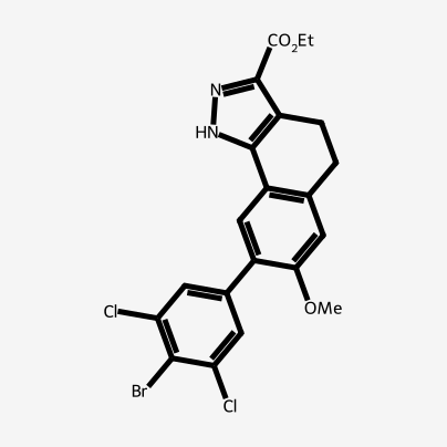 CCOC(=O)c1n[nH]c2c1CCc1cc(OC)c(-c3cc(Cl)c(Br)c(Cl)c3)cc1-2